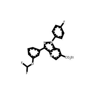 CCOC(=O)c1cnc2c(-c3cccc(OC(F)F)c3)nn(-c3ccc(F)cc3)c2c1